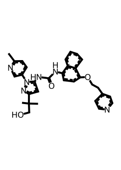 Cc1ccc(-n2nc(C(C)(C)CO)cc2NC(=O)Nc2ccc(OCCc3ccncc3)c3ccccc23)cn1